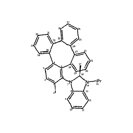 Cc1ccc2c(c1N1c3ccccc3N(C(C)C)[C@@H]1C)-c1ccccc1-c1ccccc1-c1ccccc1-2